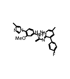 C=C(/N=c1/c(-c2ccc(F)cc2)cc(C)cn1N)Nc1ccc(-n2cnc(C)c2)c(OC)c1